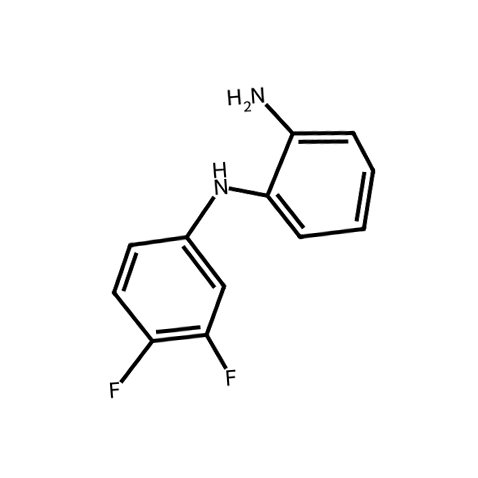 Nc1ccccc1Nc1ccc(F)c(F)c1